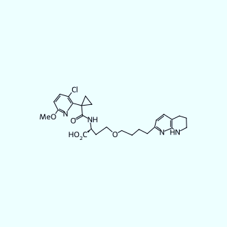 COc1ccc(Cl)c(C2(C(=O)N[C@@H](CCOCCCCc3ccc4c(n3)NCCC4)C(=O)O)CC2)n1